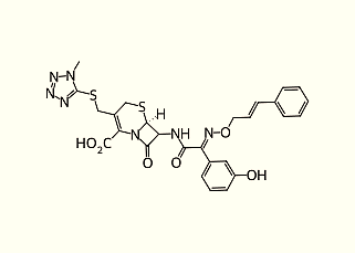 Cn1nnnc1SCC1=C(C(=O)O)N2C(=O)C(NC(=O)C(=NOCC=Cc3ccccc3)c3cccc(O)c3)[C@@H]2SC1